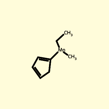 C[CH2][Mn]([CH3])[C]1=CC=CC1